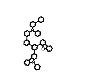 c1ccc(-c2cccc(N(c3ccccc3)c3cccc(-c4cccc(-c5cc(-c6ccc7c(c6)c6ccccc6n7-c6ccccc6)cc(-c6cccc7c6oc6ccccc67)c5)c4)c3)c2)cc1